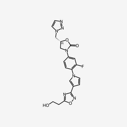 O=C1O[C@@H](Cn2ccnn2)CN1c1ccc(-n2ccc(-c3noc(CCO)n3)c2)c(F)c1